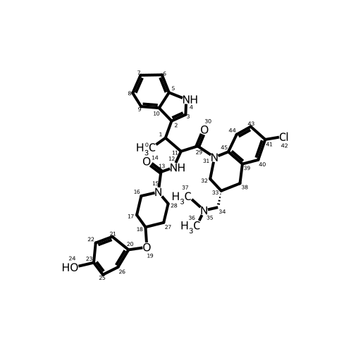 CC(c1c[nH]c2ccccc12)C(NC(=O)N1CCC(Oc2ccc(O)cc2)CC1)C(=O)N1C[C@@H](CN(C)C)Cc2cc(Cl)ccc21